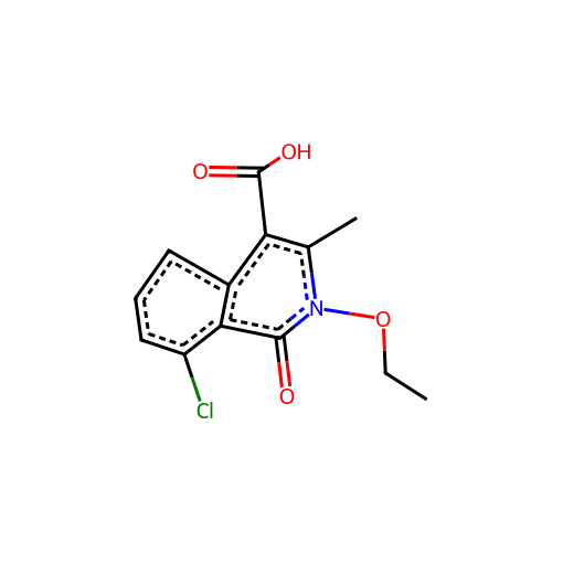 CCOn1c(C)c(C(=O)O)c2cccc(Cl)c2c1=O